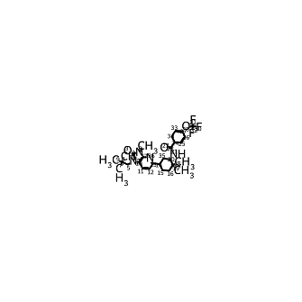 Cn1c(=O)n(CC(C)(C)C)c2ccc(C3CCC(C)(C)C(NC(=O)C4C=CC(OC(F)(F)F)=CC4)C3)nc21